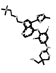 Cc1nnc(-c2cn(COCC[Si](C)(C)C)c3nccc(Oc4c(F)cc(NC5=NCC(C)(CO)CO5)cc4F)c23)o1